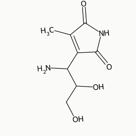 CC1=C(C(N)C(O)CO)C(=O)NC1=O